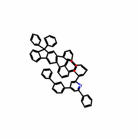 c1ccc(-c2cccc(-c3cc(-c4ccccc4)nc(-c4cccc(-c5cccc(-c6cc7c(cc6-c6cccc8ccccc68)-c6ccccc6C7(c6ccccc6)c6ccccc6)c5)c4)c3)c2)cc1